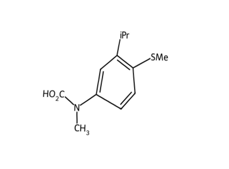 CSc1ccc(N(C)C(=O)O)cc1C(C)C